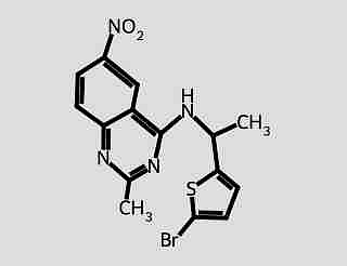 Cc1nc(NC(C)c2ccc(Br)s2)c2cc([N+](=O)[O-])ccc2n1